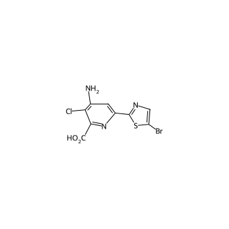 Nc1cc(-c2ncc(Br)s2)nc(C(=O)O)c1Cl